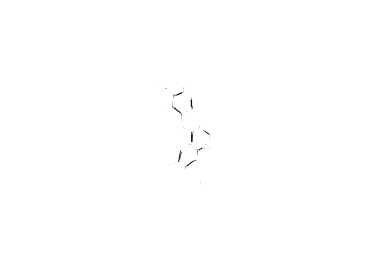 Cc1cc2ncnc(Nc3ccc(Cl)c(Cl)c3F)c2cc1O